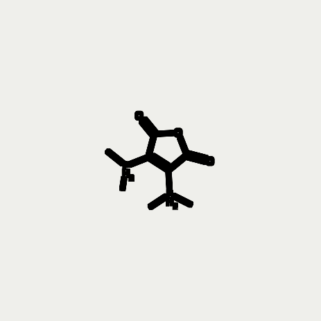 C[PH2](C)C1=C([PH2](C)C)C(=O)OC1=O